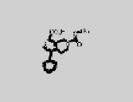 CC(C)(C)OC(=O)N1CCc2c(-c3ccccc3)ccc(C(=O)O)c2C1